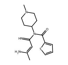 C/C(N)=C/C(=N)N(C(=O)c1cccs1)C1CCN(C)CC1